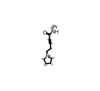 CC(C)NC(=O)C#CCCN1CCCC1